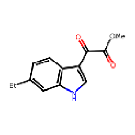 CCc1ccc2c(C(=O)C(=O)OC)c[nH]c2c1